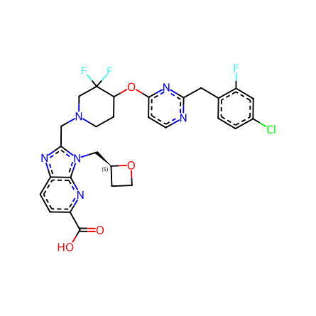 O=C(O)c1ccc2nc(CN3CCC(Oc4ccnc(Cc5ccc(Cl)cc5F)n4)C(F)(F)C3)n(C[C@@H]3CCO3)c2n1